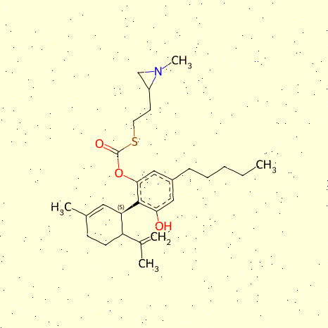 C=C(C)C1CCC(C)=C[C@H]1c1c(O)cc(CCCCC)cc1OC(=O)SCCC1CN1C